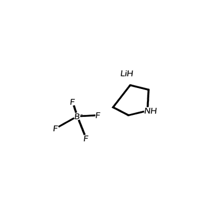 C1CCNC1.F[B-](F)(F)F.[LiH]